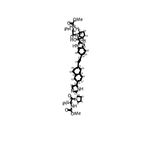 COC(=O)N[C@H](C(=O)N1CCC[C@H]1c1ncc(-c2ccc3cc(C#Cc4ccc5nc([C@]6(O)[C@H]7CC[C@H](C7)N6C(=O)[C@@H](NC(=O)OC)C(C)C)[nH]c5c4)ccc3c2)[nH]1)C(C)C